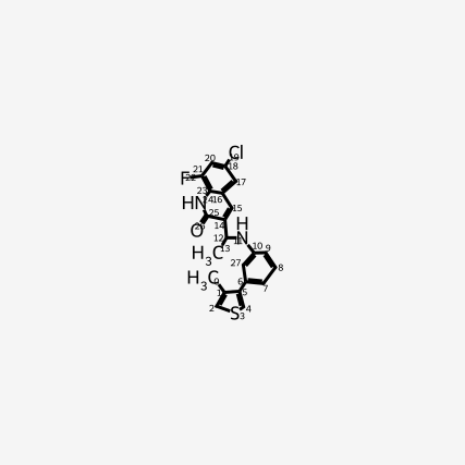 Cc1cscc1-c1cccc(NC(C)c2cc3cc(Cl)cc(F)c3[nH]c2=O)c1